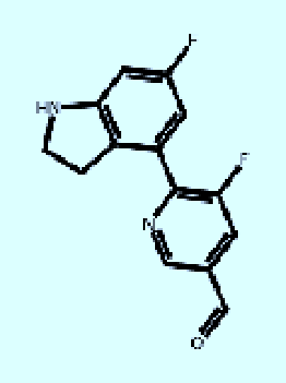 O=Cc1cnc(-c2cc(F)cc3c2CCN3)c(F)c1